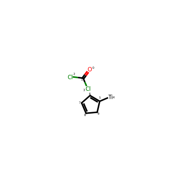 O=C(Cl)Cl.[Ti][C]1=CC=CC1